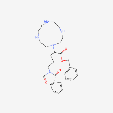 O=CN(CCCC(C(=O)OCc1ccccc1)N1CCNCCNCCNCC1)C(=O)c1ccccc1